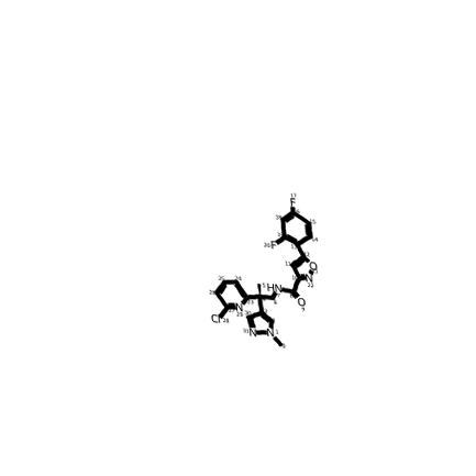 Cn1cc([C@@](C)(CNC(=O)c2cc(-c3ccc(F)cc3F)on2)c2cccc(Cl)n2)cn1